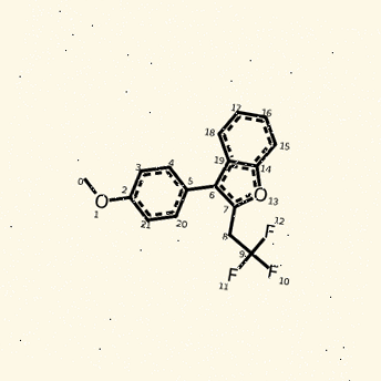 COc1ccc(-c2c(CC(F)(F)F)oc3ccccc23)cc1